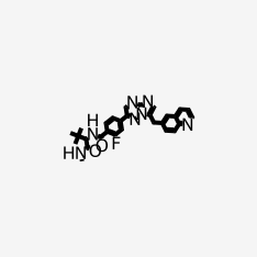 CNC(=O)C(NC(=O)c1ccc(-c2cnc3ncc(Cc4ccc5ncccc5c4)n3n2)cc1F)C(C)(C)C